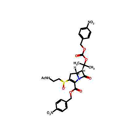 CC(=O)NCC[S+]([O-])C1=C(C(=O)OCc2ccc([N+](=O)[O-])cc2)N2C(=O)[C@H](C(C)(C)OC(=O)OCc3ccc([N+](=O)[O-])cc3)[C@H]2C1